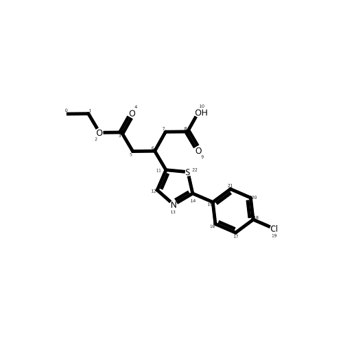 CCOC(=O)CC(CC(=O)O)c1cnc(-c2ccc(Cl)cc2)s1